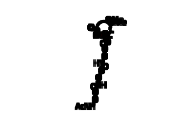 COC1/C=C/C(C)C2OC(O)(CC(=O)OC(c3ccccc3)CCCCC1OC)CC(OC(=O)COCCOCCNC(=O)COCCOCCNC(=O)COCCOCCNC(C)=O)C2C